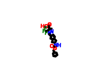 O=C(NC1Cc2ccc(Cn3ncc(C(=O)O)c3C(F)(F)F)cc2C1)OCc1ccccc1